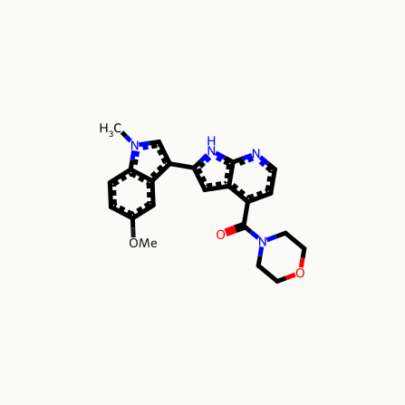 COc1ccc2c(c1)c(-c1cc3c(C(=O)N4CCOCC4)ccnc3[nH]1)cn2C